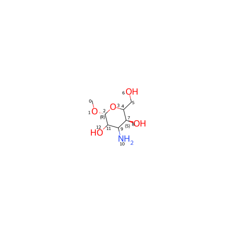 CO[C@@H]1OC(CO)[C@@H](O)C(N)C1O